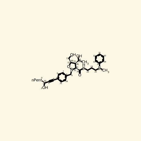 CCCCC[C@H](O)C#Cc1ccc(CN2O[C@@H](CO)[C@@H]([C@H](C)O)[C@H]2C(=O)NCCCN(C)c2ccccc2)cc1